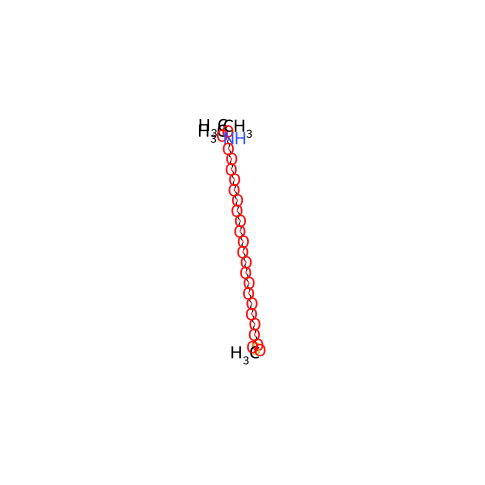 CC(C)(C)OC(=O)NCCOCCOCCOCCOCCOCCOCCOCCOCCOCCOCCOCCOCCOCCOCCOCCOCCOCCOCCOCCOS(C)(=O)=O